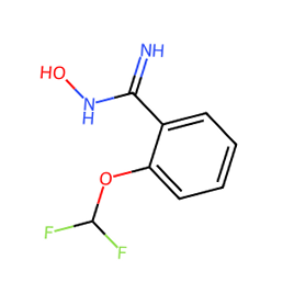 N=C(NO)c1ccccc1OC(F)F